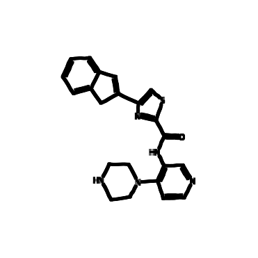 O=C(Nc1cnccc1N1CCNCC1)c1nc(C2=Cc3ccccc3C2)cs1